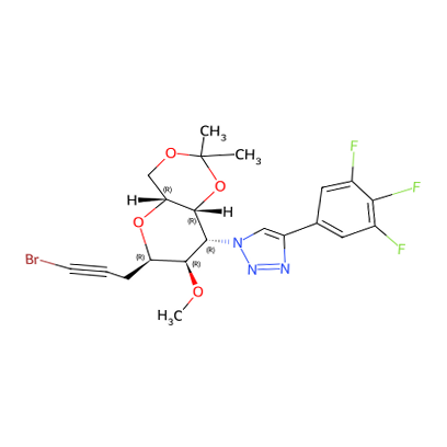 CO[C@@H]1[C@@H](n2cc(-c3cc(F)c(F)c(F)c3)nn2)[C@H]2OC(C)(C)OC[C@H]2O[C@@H]1CC#CBr